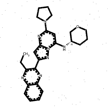 CCc1nc2ccccc2nc1-c1cc2nc(N3CCCC3)cc(N[C@H]3CCCOC3)n2n1